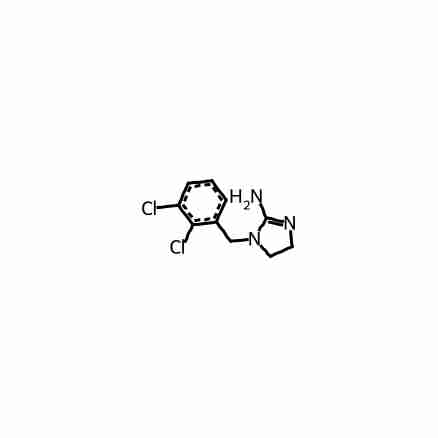 NC1=NCCN1Cc1cccc(Cl)c1Cl